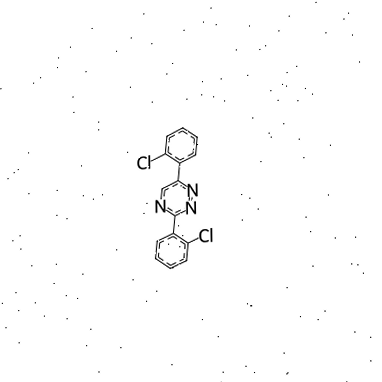 Clc1ccccc1-c1cnc(-c2ccccc2Cl)nn1